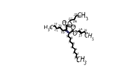 CCCCCCCCCC/C(C(=O)OCCCC)=C(\CCCCC)C(=O)OCCCC